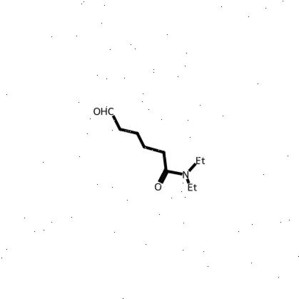 CCN(CC)C(=O)CCCCC=O